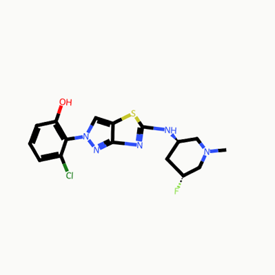 CN1C[C@H](F)C[C@@H](Nc2nc3nn(-c4c(O)cccc4Cl)cc3s2)C1